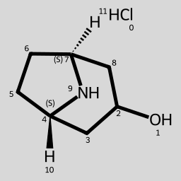 Cl.OC1C[C@@H]2CC[C@@H](C1)N2